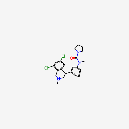 CN1Cc2c(Cl)cc(Cl)cc2C(c2cccc(N(C)C(=O)N3CCCC3)c2)C1